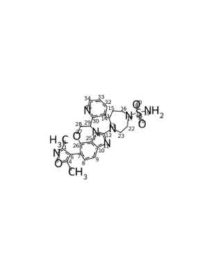 Cc1noc(C)c1-c1ccc2nc(N3CCCN(S(N)(=O)=O)CC3)n3c2c1OCC3c1ccccn1